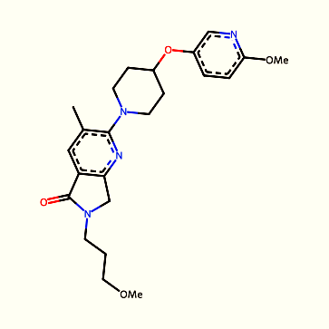 COCCCN1Cc2nc(N3CCC(Oc4ccc(OC)nc4)CC3)c(C)cc2C1=O